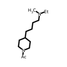 CCN(C)CCCCC1CCN(C(C)=O)CC1